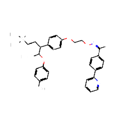 CC(=NOCCOc1ccc(C(CC[Si](C)(C)C)C(Oc2ccc(C(C)(C)C)cc2)C(=O)O)cc1)c1ccc(-c2ccccn2)cc1